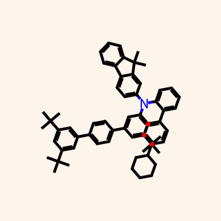 CC(C)(C)c1cc(-c2ccc(-c3cc(C(C)(C)C)cc(C(C)(C)C)c3)cc2)cc(N(c2ccc3c(c2)C(C)(C)c2ccccc2-3)c2ccccc2-c2ccc(C3CCCCC3)cc2)c1